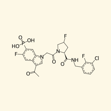 CC(=O)c1cn(CC(=O)N2CC(F)C[C@H]2C(=O)NCc2cccc(Cl)c2F)c2cc(P(=O)(O)O)c(F)cc12